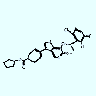 C[C@@H](Oc1c(N)ncc2c(C3=CCN(C(=O)OC4CCCC4)CC3)coc12)c1c(Cl)ccc(F)c1Cl